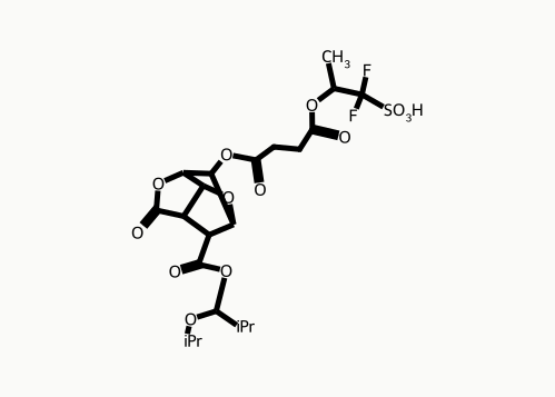 CC(C)OC(OC(=O)C1C2OC3C(OC(=O)C31)C2OC(=O)CCC(=O)OC(C)C(F)(F)S(=O)(=O)O)C(C)C